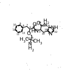 CC(C)(N)COC(Cc1ccccc1)C(=O)NC(Cc1c[nH]cn1)C(N)=O